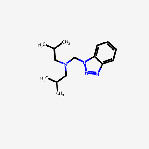 CC(C)CN(CC(C)C)Cn1nnc2ccccc21